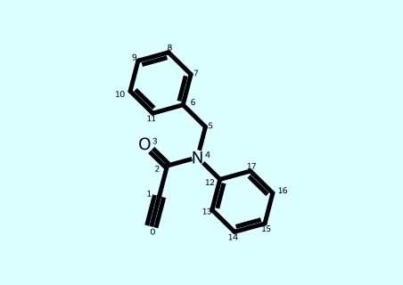 C#CC(=O)N(Cc1ccccc1)c1ccccc1